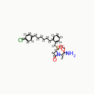 CC(C(N)=O)N1C(=O)CC1[S+]([O-])Cc1ccccc1CCCCCCc1ccc(Cl)cc1